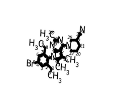 CCc1cc(Br)cc(CC)c1-n1c(C)c(C)c2c(N3CCCC(C#N)C3)nc(C)nc21